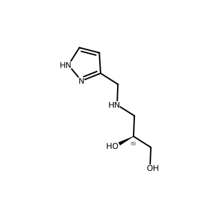 OC[C@@H](O)CNCc1cc[nH]n1